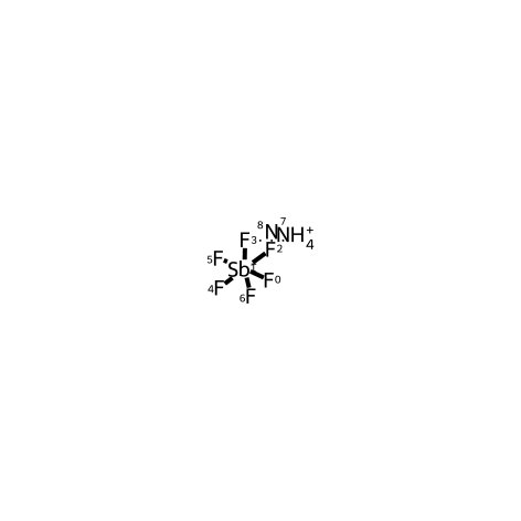 [F][Sb-]([F])([F])([F])([F])[F].[NH4+].[N]